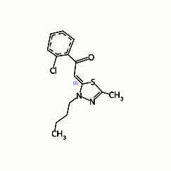 CCCCN1N=C(C)S/C1=C\C(=O)c1ccccc1Cl